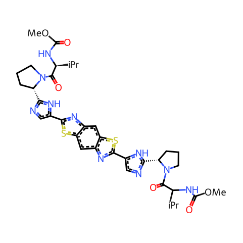 COC(=O)NC(C(=O)N1CCC[C@H]1c1ncc(-c2nc3cc4sc(-c5cnc([C@@H]6CCCN6C(=O)[C@@H](NC(=O)OC)C(C)C)[nH]5)nc4cc3s2)[nH]1)C(C)C